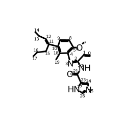 C=C/C(=N\c1c(OC)ccc(/C(=C/CC)CCC)c1C)NC(=O)c1cnc[nH]1